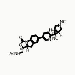 [C-]#[N+]N1C[C@@H]2[C@H](C1)[C@@]2([N+]#[C-])c1ccc(-c2ccc3c(c2)C[C@H]2[C@H](CNC(C)=O)OC(=O)N32)cn1